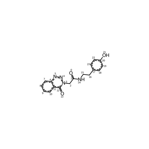 O=C(Cn1nnc2ccccc2c1=O)NCCc1ccc(O)cc1